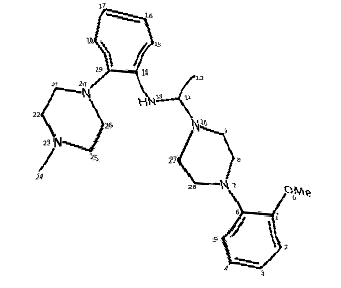 COc1ccccc1N1CCN(C(C)Nc2ccccc2N2CCN(C)CC2)CC1